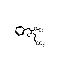 CCOP(=O)(CCC(=O)O)Cc1ccccc1